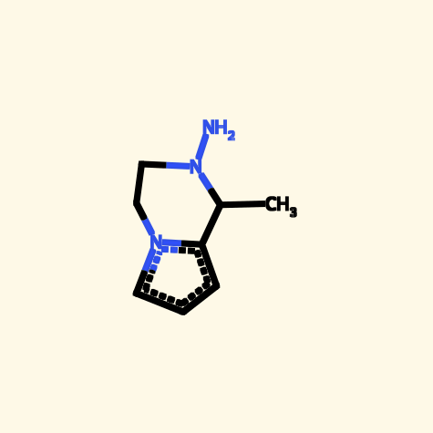 CC1c2cccn2CCN1N